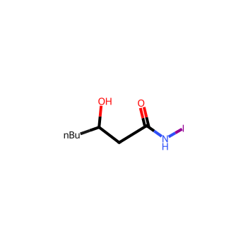 CCCCC(O)CC(=O)NI